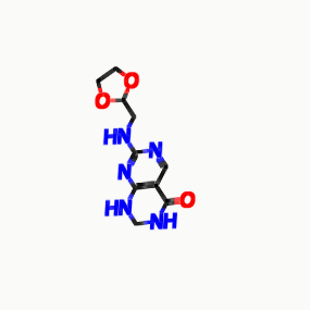 O=C1NCNc2nc(NCC3OCCO3)ncc21